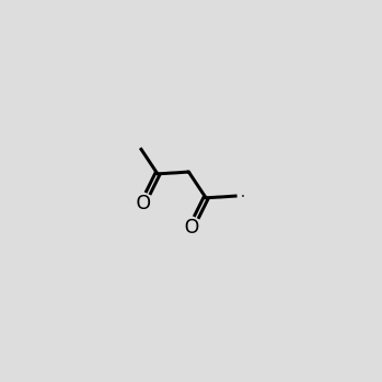 [CH2]C(=O)CC(C)=O